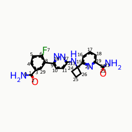 NC(=O)c1ccc(F)c(-c2ccc(NC3(c4cccc(C(N)=O)n4)CCC3)nn2)c1